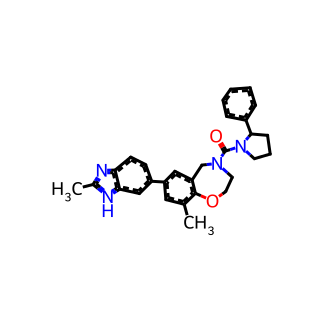 Cc1nc2ccc(-c3cc(C)c4c(c3)CN(C(=O)N3CCCC3c3ccccc3)CCO4)cc2[nH]1